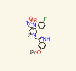 CC(C)Oc1ccc2[nH]cc(CN3CC[C@@]4(C[C@@H]3C)CN(C)S(=O)(=O)N4c3cccc(F)c3)c2c1